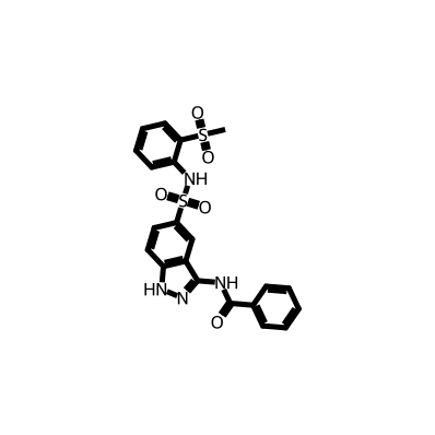 CS(=O)(=O)c1ccccc1NS(=O)(=O)c1ccc2[nH]nc(NC(=O)c3ccccc3)c2c1